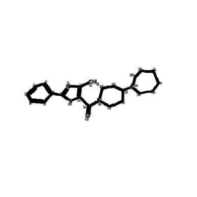 Cc1nc(-c2ccccc2)sc1C(=O)N1CCC(N2CCCCCC2)CC1